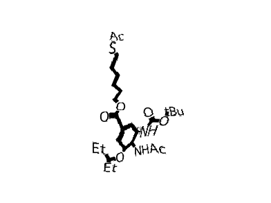 CCC(CC)OC1C=C(C(=O)OCCCCCCSC(C)=O)C[C@H](NC(=O)OC(C)(C)C)C1NC(C)=O